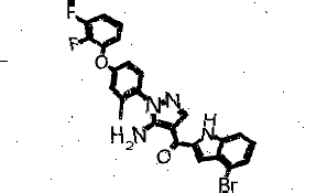 Cc1cc(Oc2cccc(F)c2F)ccc1-n1ncc(C(=O)c2cc3c(Br)cccc3[nH]2)c1N